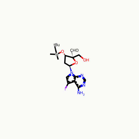 CC(C)(C)[Si](C)(C)O[C@H]1C[C@H](n2cc(I)c3c(N)ncnc32)O[C@]1(C=O)CO